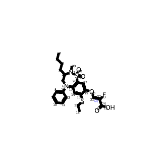 CCCCC1CN(c2ccccc2)c2cc(SCC)c(O/C=C(\F)C(=O)O)cc2S(=O)(=O)N1C